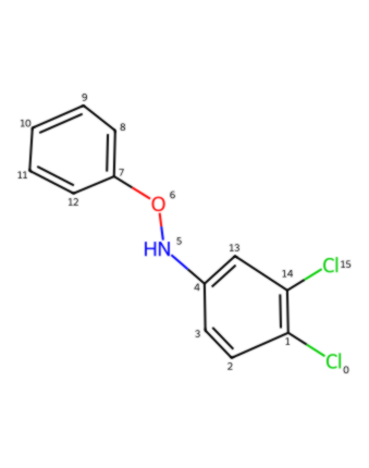 Clc1ccc(NOc2ccccc2)cc1Cl